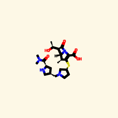 C[C@@H](O)[C@H]1C(=O)N2C(C(=O)O)=C(S[C@@H]3CCN(C[C@@H]4CN[C@H](C(=O)N(C)C)C4)C3)[C@H](C)[C@H]12